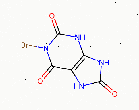 O=c1[nH]c2[nH]c(=O)n(Br)c(=O)c2[nH]1